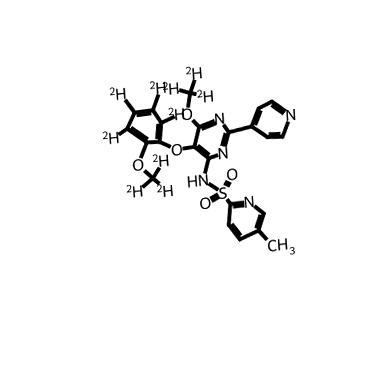 [2H]c1c([2H])c([2H])c(OC([2H])([2H])[2H])c(Oc2c(NS(=O)(=O)c3ccc(C)cn3)nc(-c3ccncc3)nc2OC([2H])([2H])[2H])c1[2H]